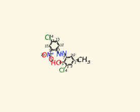 Cc1cc(Cl)c(O)c(/N=N/c2ccc(Cl)cc2[N+](=O)[O-])c1